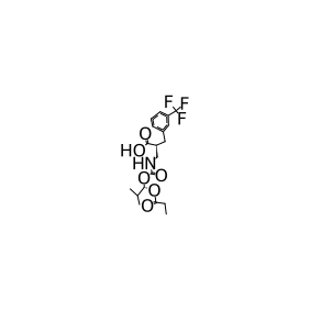 CCC(=O)O[C@@H](OC(=O)NC[C@H](Cc1cccc(C(F)(F)F)c1)C(=O)O)C(C)C